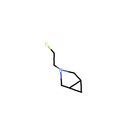 FCCN1CC2CC2C1